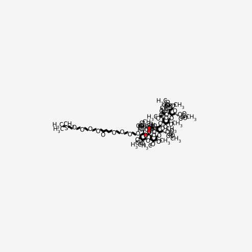 COC(=O)[C@H]1O[C@@H](OC2[C@@H](COS(=O)(=O)OC)O[C@H](O[C@H]3[C@H](OC)[C@@H](OC)[C@H](O[C@H]4[C@H](OS(=O)(=O)OC)[C@@H](OS(=O)(=O)OC)[C@@H](OC)O[C@@H]4COS(=O)(=O)OC)O[C@H]3C(=O)OC)[C@H](OS(=O)(=O)OC)[C@H]2OS(=O)(=O)OC)[C@H](OC)[C@@H](OC)[C@@H]1O[C@H]1O[C@H](COS(=O)(=O)OC)C(OCCOCCOCCOCCCC(=O)COCCOCCOCCOCCSC(C)(C)C)[C@H](OC)[C@H]1OC